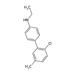 CCNc1ccc(-c2cc(C)ccc2Cl)cc1